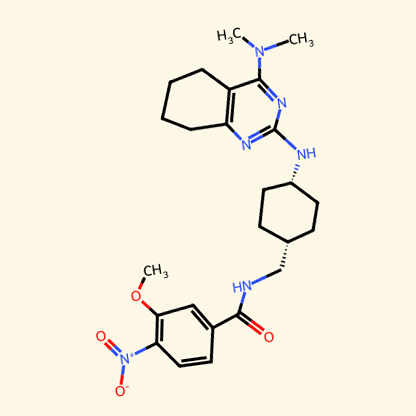 COc1cc(C(=O)NC[C@H]2CC[C@@H](Nc3nc4c(c(N(C)C)n3)CCCC4)CC2)ccc1[N+](=O)[O-]